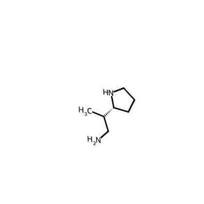 CC(CN)[C@H]1CCCN1